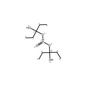 CCC(O)(CC)O[PH](=O)OC(O)(CC)CC